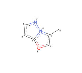 Cc1coc2ccnn12